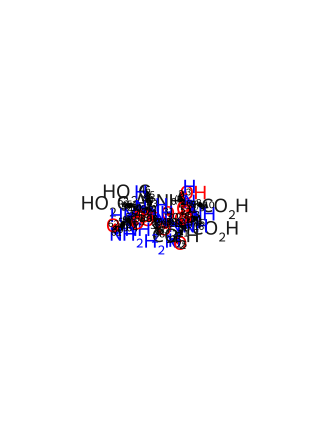 CC(=O)N[C@H](CO)C(=O)N[C@H](CCC(=O)O)C(=O)N[C@H](CC(=O)O)C(=O)N[C@H](CCC(N)=O)C(=O)N[C@H](CO)C(=O)N[C@H](CCC(=O)O)C(=O)N[C@H](CCCC(=O)O)C(=O)N[C@H](CCC(=O)O)C(=O)N[C@H](CCC(N)=O)C(N)=O